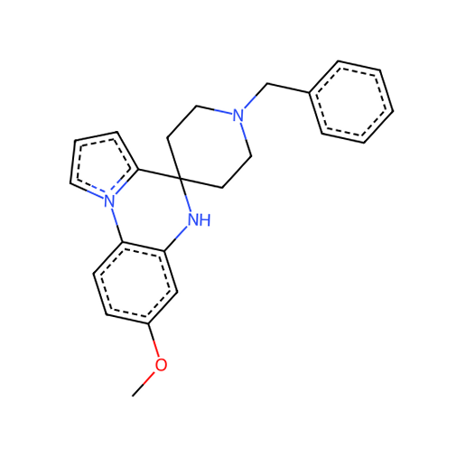 COc1ccc2c(c1)NC1(CCN(Cc3ccccc3)CC1)c1cccn1-2